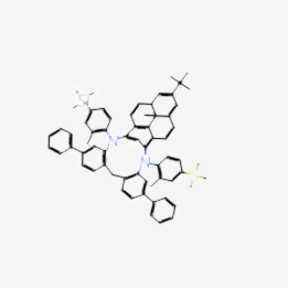 Cc1cc([Si](C)(C)C)ccc1N1c2cc(-c3ccccc3)ccc2Cc2ccc(-c3ccccc3)cc2N(c2ccc(S(C)(C)C)cc2C)c2cc1c1c3c2C=CC2=CC(C(C)(C)C)=CC(C=C1)C23C